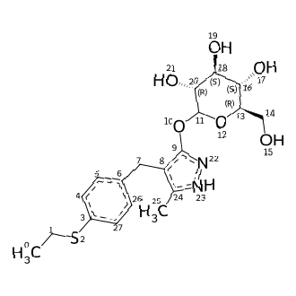 CCSc1ccc(Cc2c(OC3O[C@H](CO)[C@@H](O)[C@H](O)[C@H]3O)n[nH]c2C)cc1